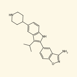 CC(C)c1c(-c2ccc3onc(N)c3c2)[nH]c2ccc(C3CCNCC3)cc12